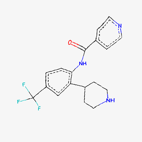 O=C(Nc1ccc(C(F)(F)F)cc1C1CCNCC1)c1ccncc1